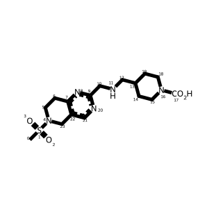 CS(=O)(=O)N1CCc2nc(CNCC3CCN(C(=O)O)CC3)ncc2C1